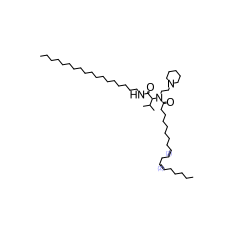 CCCCC/C=C\C/C=C\CCCCCCCC(=O)N(CCN1CCCCC1)C(C(=O)NCCCCCCCCCCCCCCCCCC)C(C)C